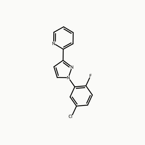 Fc1ccc(Cl)cc1-n1ccc(-c2ccccn2)n1